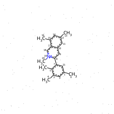 Cc1cc(C)c(C)c(-c2cc3cc(C)cc(C)c3c[n+]2C)c1